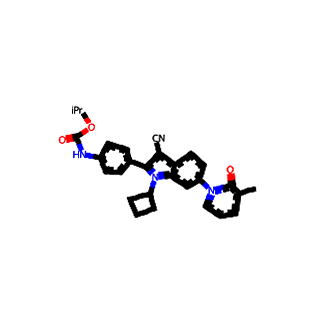 Cc1cccn(-c2ccc3c(C#N)c(-c4ccc(NC(=O)OC(C)C)cc4)n(C4CCC4)c3c2)c1=O